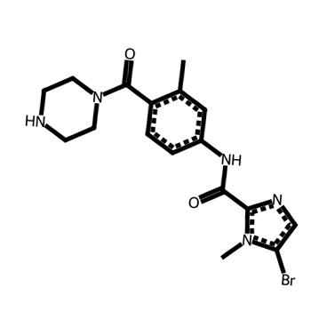 Cc1cc(NC(=O)c2ncc(Br)n2C)ccc1C(=O)N1CCNCC1